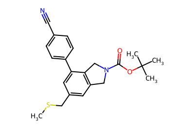 CSCc1cc2c(c(-c3ccc(C#N)cc3)c1)CN(C(=O)OC(C)(C)C)C2